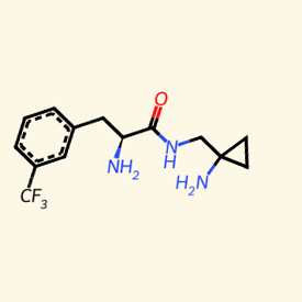 N[C@@H](Cc1cccc(C(F)(F)F)c1)C(=O)NCC1(N)CC1